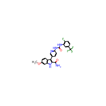 COc1ccc2c(-c3ccc(NC(=O)Nc4cc(C(F)(F)F)ccc4F)nc3)c(C(N)=O)[nH]c2c1